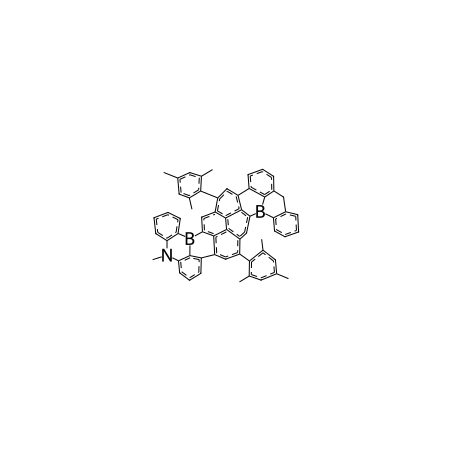 Cc1cc(C)c(-c2cc3c4c(cc5c(-c6c(C)cc(C)cc6C)cc6c7c(cc2c4c57)B2c4ccccc4N(C)c4cccc-6c42)B2c4ccccc4Cc4cccc-3c42)c(C)c1